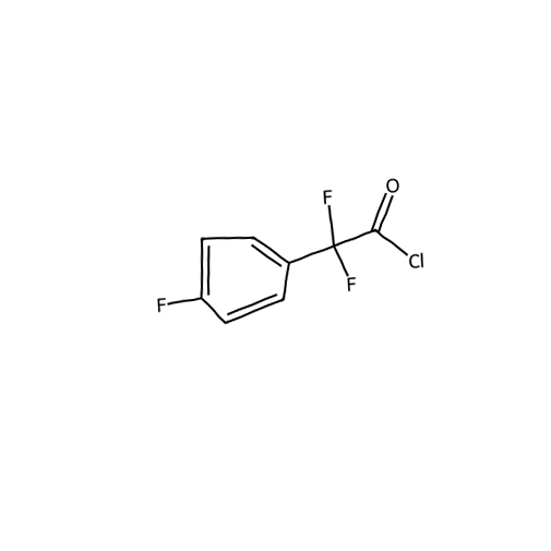 O=C(Cl)C(F)(F)c1ccc(F)cc1